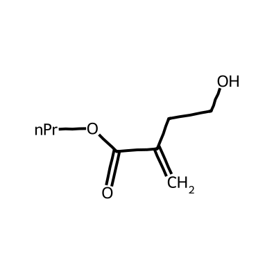 C=C(CCO)C(=O)OCCC